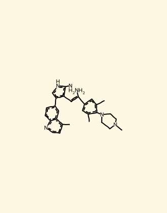 Cc1cc(/C(N)=C/c2c(-c3ccc4nccc(C)c4c3)c[nH]c2N)cc(C)c1N1CCN(C)CC1